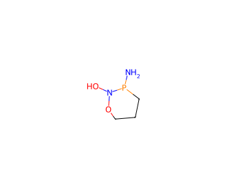 NP1CCCON1O